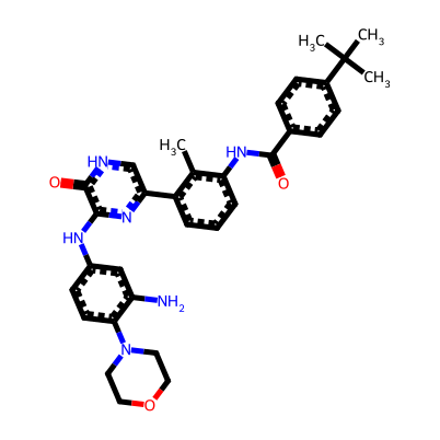 Cc1c(NC(=O)c2ccc(C(C)(C)C)cc2)cccc1-c1c[nH]c(=O)c(Nc2ccc(N3CCOCC3)c(N)c2)n1